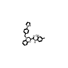 Cc1ccc(NC(=O)C2CN(Cc3ccc(-n4cccn4)cc3)c3ccccc3O2)c(O)c1